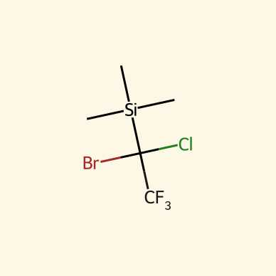 C[Si](C)(C)C(Cl)(Br)C(F)(F)F